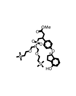 COC(=O)CC(CS(=O)(=O)N(COCC[Si](C)(C)C)COCC[Si](C)(C)C)c1ccc(O[C@@H]2CCc3c(O)cccc32)cc1